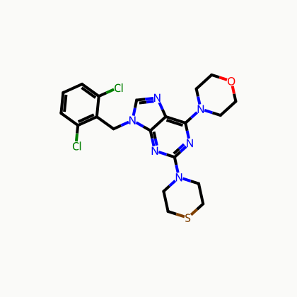 Clc1cccc(Cl)c1Cn1cnc2c(N3CCOCC3)nc(N3CCSCC3)nc21